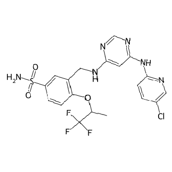 CC(Oc1ccc(S(N)(=O)=O)cc1CNc1cc(Nc2ccc(Cl)cn2)ncn1)C(F)(F)F